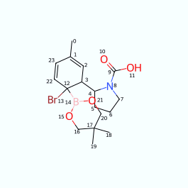 CC1=CC(C2CCCN2C(=O)O)C(Br)(B2OCC(C)(C)CO2)C=C1